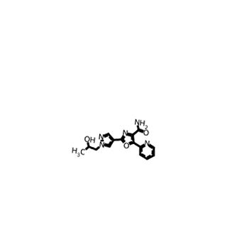 CC(O)Cn1cc(-c2nc(C(N)=O)c(-c3ccccn3)o2)cn1